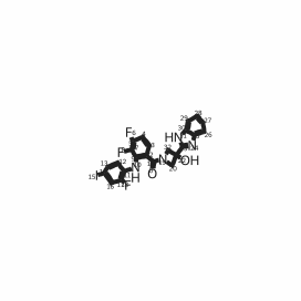 O=C(c1ccc(F)c(F)c1Nc1ccc(I)cc1F)N1CC(O)(c2nc3ccccc3[nH]2)C1